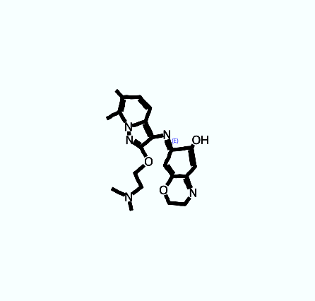 Cc1ccc2c(/N=C3\C=C4OCCN=C4C=C3O)c(OCCN(C)C)nn2c1C